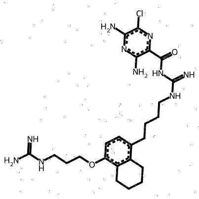 N=C(N)NCCCOc1ccc(CCCCNC(=N)NC(=O)c2nc(Cl)c(N)nc2N)c2c1CCCC2